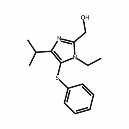 CCn1c(CO)nc(C(C)C)c1Sc1ccccc1